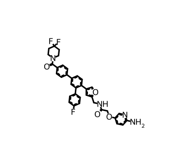 Nc1ccc(OCC(=O)NCc2cc(-c3ccc(-c4ccc(C(=O)N5CCC(F)(F)CC5)cc4)cc3-c3ccc(F)cc3)co2)cn1